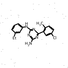 CCc1cccc(Nc2nc(N)nc(-c3cc(Cl)ccc3C)n2)c1